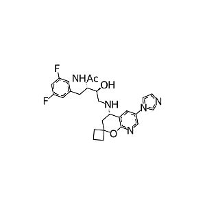 CC(=O)N[C@@H](Cc1cc(F)cc(F)c1)[C@@H](O)CN[C@H]1CC2(CCC2)Oc2ncc(-n3ccnc3)cc21